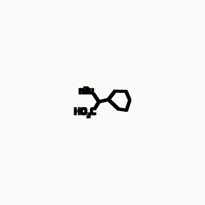 CCCCC(C(=O)O)C1CCCCC1